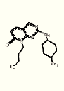 NC1CCC(Nc2ncc3ccc(=O)n(CCCO)c3n2)CC1